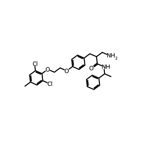 Cc1cc(Cl)c(OCCOc2ccc(CC(CN)C(=O)NC(C)c3ccccc3)cc2)c(Cl)c1